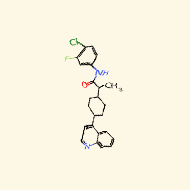 CC(C(=O)Nc1ccc(Cl)c(F)c1)C1CCC(c2ccnc3ccccc23)CC1